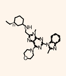 CC[C@H]1CCCC(NCc2nc3c(N4CCOCC4)nc(-n4c(C)nc5ccccc54)nc3n2C)C1